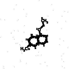 CCOc1cccc2cc(C)ccc12